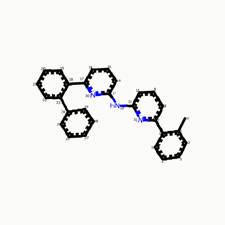 Cc1ccccc1-c1cccc(Nc2cccc(-c3ccccc3-c3ccccc3)n2)n1